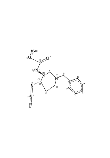 CC(C)(C)OC(=O)N[C@H]1CN(Cc2ccccc2)CC[C@@H]1N=[N+]=[N-]